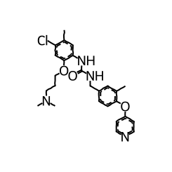 Cc1cc(NC(=O)NCc2ccc(Oc3ccncc3)c(C)c2)c(OCCCN(C)C)cc1Cl